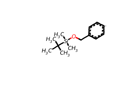 CC(C)(C)[Si](C)(C)OCc1cc[c]cc1